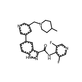 CC1CCN(Cc2cncc(-c3ccc4[nH]nc(C(=O)Nc5c(F)cncc5F)c4c3)c2)CC1